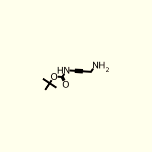 CC(C)(C)OC(=O)NC#CCN